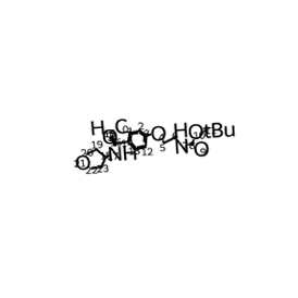 Cc1cc(OCCNC(=O)OC(C)(C)C)ccc1C(=O)NC1CCOCC1